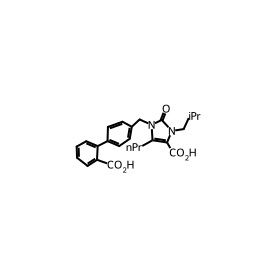 CCCc1c(C(=O)O)n(CC(C)C)c(=O)n1Cc1ccc(-c2ccccc2C(=O)O)cc1